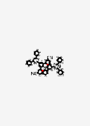 N#Cc1cccc(-c2cc(-c3nc(-c4ccccc4)cc(-c4ccccc4)n3)cc(-c3cccc(C#N)c3)c2-n2c3ccccc3c3cc(-c4nc(-c5ccccc5)nc(-c5ccccc5)n4)ccc32)c1